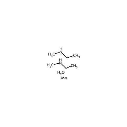 CCNC.CCNC.O.[Mo]